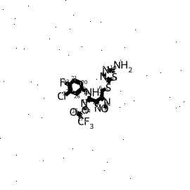 Nc1nnc(SCc2nonc2C(=NOC(=O)C(F)(F)F)Nc2ccc(F)c(Cl)c2)s1